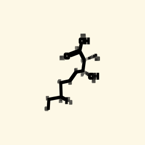 CCC(F)CCC[C@@H](O)[C@@H](C)C(=O)O